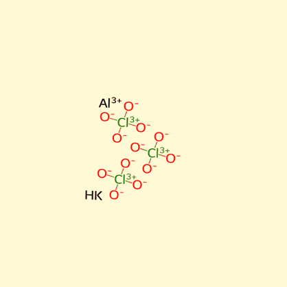 [Al+3].[KH].[O-][Cl+3]([O-])([O-])[O-].[O-][Cl+3]([O-])([O-])[O-].[O-][Cl+3]([O-])([O-])[O-]